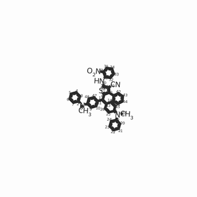 CN(c1ccccc1)c1ccc(C(=C2C=CC(=[N+](C)c3ccccc3)C=C2)c2sc(Nc3ccccc3[N+](=O)[O-])c(C#N)c2-c2ccccc2)cc1